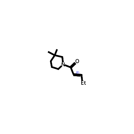 CC/C=C/C(=O)N1CCCC(C)(C)C1